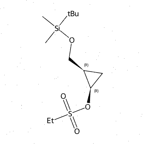 CCS(=O)(=O)O[C@@H]1C[C@@H]1CO[Si](C)(C)C(C)(C)C